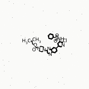 CC(C)COC(=O)N1CCN(c2cnc3ccc(-c4cnc(Cl)c(NS(=O)(=O)c5ccccc5)c4)cc3n2)CC1